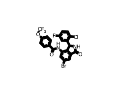 O=C(Nc1cc(Br)cc2c1C(c1cc(F)ccc1Cl)NC2=O)c1ccc(OC(F)(F)F)cc1